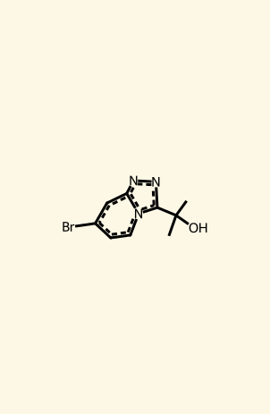 CC(C)(O)c1nnc2cc(Br)ccn12